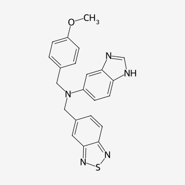 COc1ccc(CN(Cc2ccc3nsnc3c2)c2ccc3[nH]cnc3c2)cc1